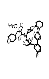 O=C(O)C[C@@H](CC1CCOCC1)C(=O)N(c1nc(-c2cc(F)ccc2-c2ccc(N3CCCCC3=O)nc2)cs1)C1CC1